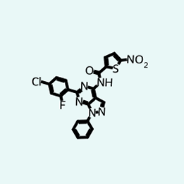 O=C(Nc1nc(-c2ccc(Cl)cc2F)nc2c1cnn2-c1ccccc1)c1ccc([N+](=O)[O-])s1